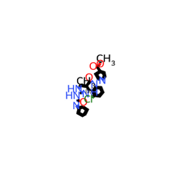 COC(=O)c1ccnc(NC(=O)C2=C(C)NC(Nc3nc4ccccc4o3)=N[C@@H]2c2ccccc2Cl)c1